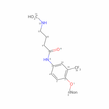 CCCCCCCCCOc1ccc(NC(=O)CCCNC(=O)O)cc1C(F)(F)F